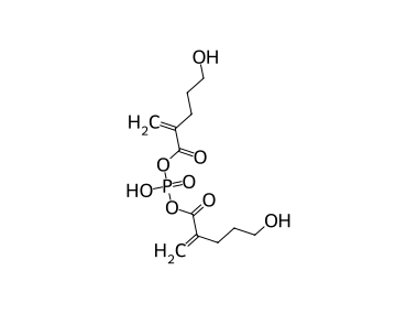 C=C(CCCO)C(=O)OP(=O)(O)OC(=O)C(=C)CCCO